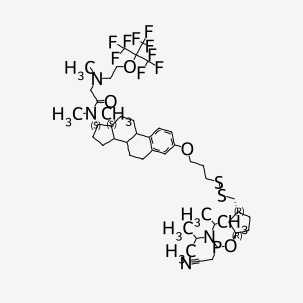 CC(C)N(C(C)C)P(CC#N)O[C@@H]1CC[C@@H](CSSCCCOc2ccc3c(c2)CCC2C3CC[C@@]3(C)C2CC[C@@H]3N(C)C(=O)CN(C)CCOC(C(F)(F)F)(C(F)(F)F)C(F)(F)F)C1